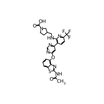 CC(=O)Nc1nc2c(Oc3cc(-c4ccc(C(F)(F)F)nc4NCC4CCN(C(=O)O)C4)ncn3)cccc2s1